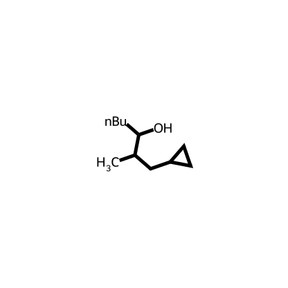 CCCCC(O)C(C)CC1CC1